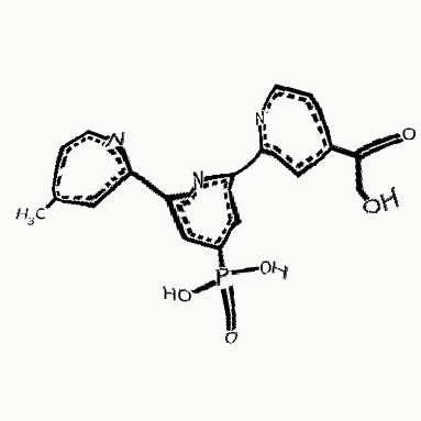 Cc1ccnc(-c2cc(P(=O)(O)O)cc(-c3cc(C(=O)O)ccn3)n2)c1